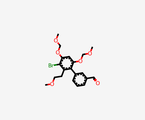 COCCc1c(Br)c(OCOC)cc(OCOC)c1-c1cccc(C=O)c1